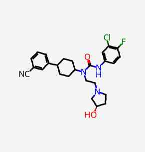 N#Cc1cccc(C2CCC(N(CCN3CC[C@@H](O)C3)C(=O)Nc3ccc(F)c(Cl)c3)CC2)c1